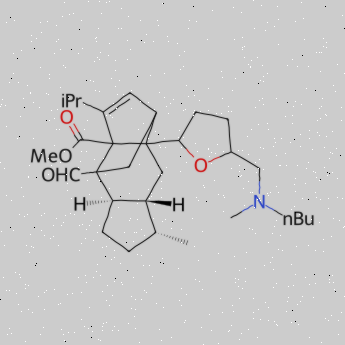 CCCCN(C)CC1CCC(C23C[C@@H]4[C@H](C)CC[C@H]4C4(C=O)CC2C=C(C(C)C)C34C(=O)OC)O1